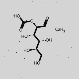 O=C[C@H](OC(=O)O)[C@@H](O)[C@H](O)[C@H](O)CO.[CaH2]